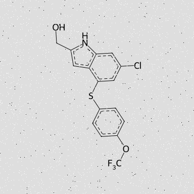 OCc1cc2c(Sc3ccc(OC(F)(F)F)cc3)cc(Cl)cc2[nH]1